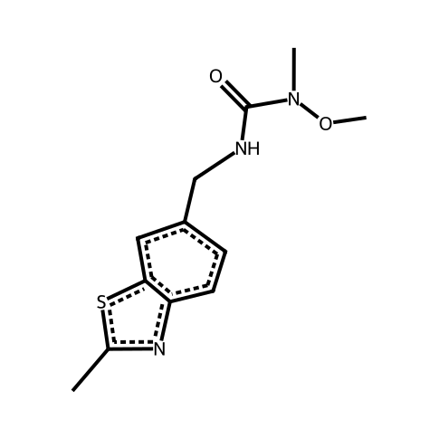 CON(C)C(=O)NCc1ccc2nc(C)sc2c1